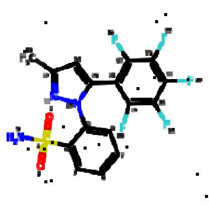 NS(=O)(=O)c1ccccc1-n1nc(C(F)(F)F)cc1-c1c(F)c(F)c(F)c(F)c1F